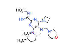 C=Nc1nc(C(=N)NC(=O)O)nc(N2CCC2)c1N(CN1CCOCC1)C[C@H]1CC[C@H](C)CC1